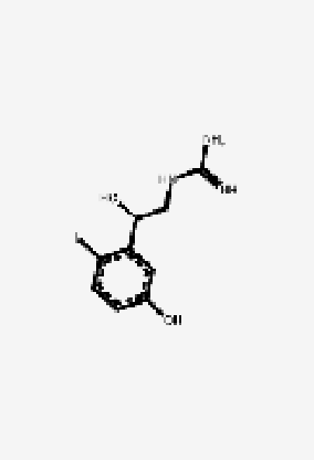 N=C(N)NC[C@H](O)c1cc(O)ccc1I